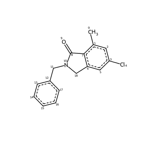 Cc1cc(Cl)cc2c1C(=O)N(Cc1ccccc1)C2